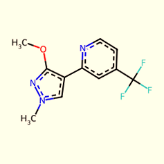 COc1nn(C)cc1-c1cc(C(F)(F)F)ccn1